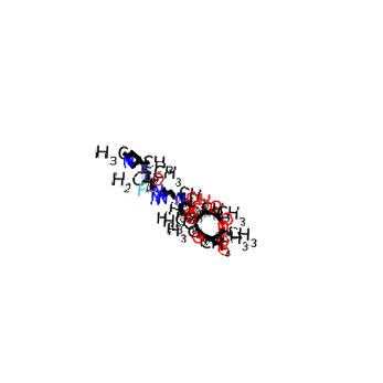 C=C/C(=C\C=C(/C)c1ccc(C)nc1)[C@@H](OC)[C@@H](CF)n1cc(CCN(C)[C@H]2C[C@@H](C)O[C@@H](O[C@@H]3[C@@H](C)C(=O)[C@@H](C)C(=O)O[C@H](CC)[C@@]4(C)OC(=O)C[C@@H]4[C@@H](C)C(=O)[C@H](C)C[C@@]3(C)OC)[C@@H]2O)nn1